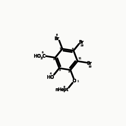 CCCCCCCOc1c(O)c(C(=O)O)c(Br)c(Br)c1Br